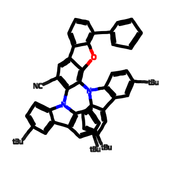 CC(C)(C)c1ccc2c(c1)c1cc(C(C)(C)C)ccc1n2-c1c(C#N)cc2c(oc3c(-c4ccccc4)cccc32)c1-n1c2ccc(C(C)(C)C)cc2c2cc(C(C)(C)C)ccc21